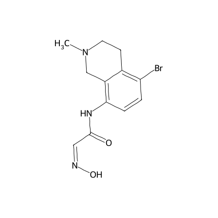 CN1CCc2c(Br)ccc(NC(=O)/C=N\O)c2C1